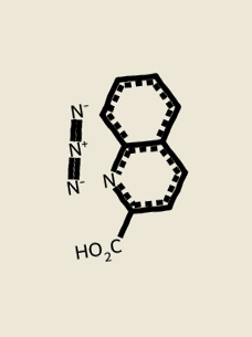 O=C(O)c1ccc2ccccc2n1.[N-]=[N+]=[N-]